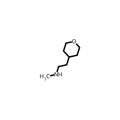 CNCCC1CCOCC1